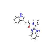 O=C(CCc1c[nH]c2ccccc12)N1CCCC1c1nc2ccccc2[nH]1